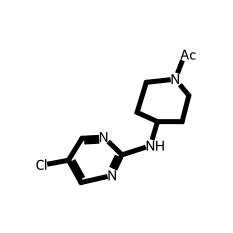 CC(=O)N1CCC(Nc2ncc(Cl)cn2)CC1